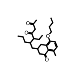 CCCCOc1ccc(C)c2c1CC(CC(CCC)C(CC)C(=O)CC(C)=O)CC2=O